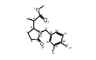 COC(=O)C(C)C1CCC(=O)N1Cc1ccc(F)c(F)c1